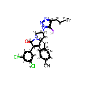 COC1=C(c2cc(Cl)cc(Cl)c2)C(=O)N2C[C@@H](n3nnc(CCC(C)C)c3I)C[C@@]12Cc1ccc(C#N)cc1